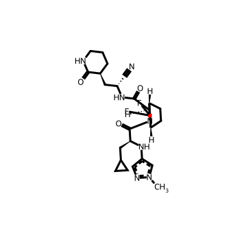 Cn1cc(N[C@@H](CC2CC2)C(=O)N2[C@H]3CC[C@@H]([C@@H]2C(=O)N[C@@H](C#N)C[C@@H]2CCCNC2=O)C(F)(F)C3)cn1